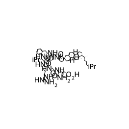 CC(C)CCC[C@@H](C)[C@H]1CC[C@H]2[C@@H]3CC=C4C[C@@H](OC(=O)NCC(=O)NC(Cc5ccccc5)C(=O)NC(C(=O)N[C@@H](CCCNC(=N)N)C(=O)NCC(=O)N[C@@H](CC(=O)O)C(N)=O)C(C)C)CC[C@]4(C)[C@H]3CC[C@]12C